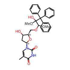 COC(OC[C@H]1O[C@@H](n2cc(C)c(=O)[nH]c2=O)CC1O)C(O)(OC)C(c1ccccc1)(c1ccccc1)c1ccccc1